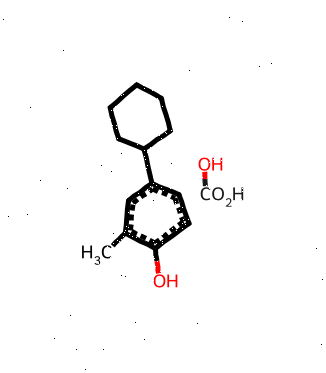 Cc1cc(C2CCCCC2)ccc1O.O=C(O)O